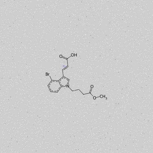 COC(=O)CCCn1cc(/C=C/C(=O)O)c2c(Br)cccc21